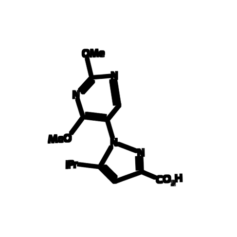 COc1ncc(-n2nc(C(=O)O)cc2C(C)C)c(OC)n1